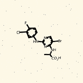 CC(Nc1nc(Nc2ccc(F)c(Cl)c2)ncc1Br)C(=O)O